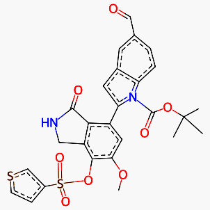 COc1cc(-c2cc3cc(C=O)ccc3n2C(=O)OC(C)(C)C)c2c(c1OS(=O)(=O)c1ccsc1)CNC2=O